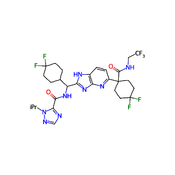 CC(C)n1ncnc1C(=O)NC(c1nc2nc(C3(C(=O)NCC(F)(F)F)CCC(F)(F)CC3)ccc2[nH]1)C1CCC(F)(F)CC1